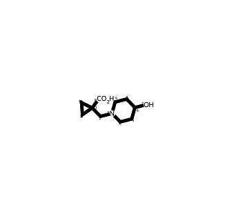 O=C(O)C1(CN2CCC(O)CC2)CC1